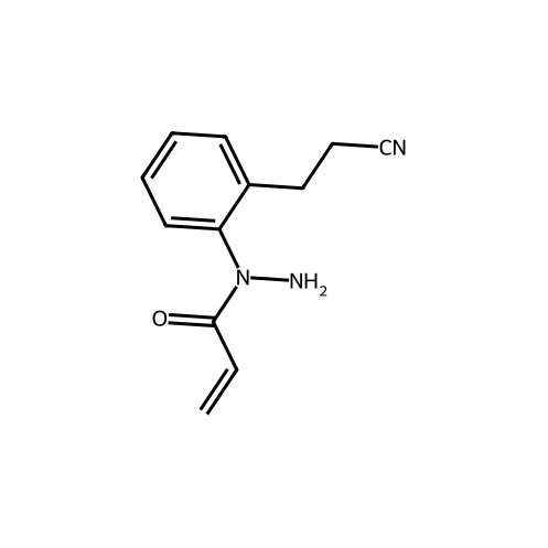 C=CC(=O)N(N)c1ccccc1CCC#N